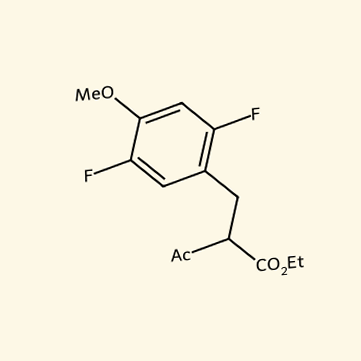 CCOC(=O)C(Cc1cc(F)c(OC)cc1F)C(C)=O